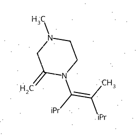 C=C1CN(C)CCN1/C(=C(\C)C(C)C)C(C)C